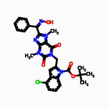 Cn1c(/C(=N\O)c2ccccc2)nc2c1c(=O)n(Cc1cc3c(Cl)cccc3n1C(=O)OC(C)(C)C)c(=O)n2C